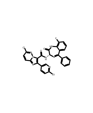 CCc1ccc(-c2nc3ccc(Cl)nn3c2C(=O)N[C@H]2N=C(c3ccccc3)c3cccc(F)c3NC2=O)cn1